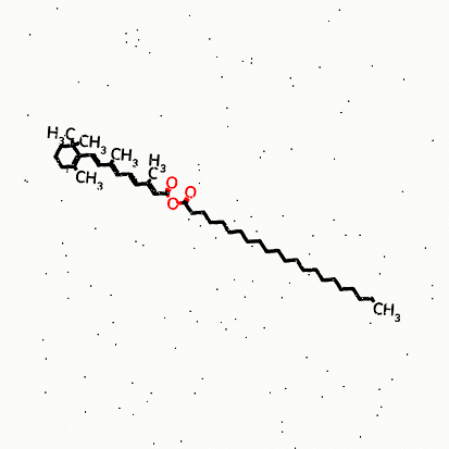 CCCCCCCCCCCCCCCCCCCCCC(=O)OC(=O)/C=C(C)/C=C/C=C(C)/C=C/C1=C(C)CCCC1(C)C